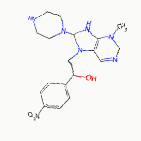 CN1CN=CC2=C1NC(N1CCNCC1)N2CC(O)c1ccc([N+](=O)[O-])cc1